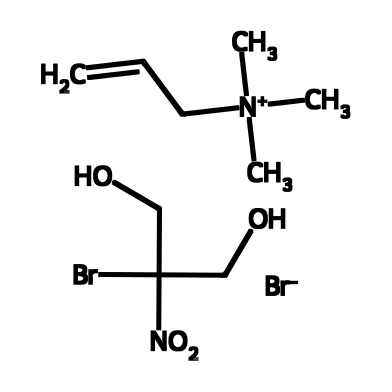 C=CC[N+](C)(C)C.O=[N+]([O-])C(Br)(CO)CO.[Br-]